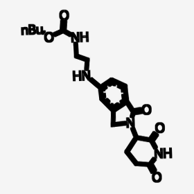 CCCCOC(=O)NCCNc1ccc2c(c1)CN(C1CCC(=O)NC1=O)C2=O